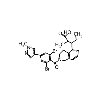 CCC(c1cccc2c1CCN(C(=O)c1c(Br)cc(-c3cnn(C)c3)cc1Br)C2)C(C)C(=O)O